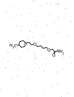 CC1CCN(CCOCCCCOCC(N)=O)CC1